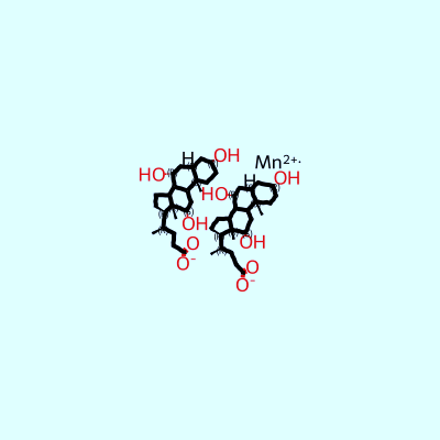 C[C@H](CCC(=O)[O-])[C@H]1CCC2C3C(C[C@H](O)[C@@]21C)[C@@]1(C)CC[C@@H](O)C[C@H]1C[C@H]3O.C[C@H](CCC(=O)[O-])[C@H]1CCC2C3C(C[C@H](O)[C@@]21C)[C@@]1(C)CC[C@@H](O)C[C@H]1C[C@H]3O.[Mn+2]